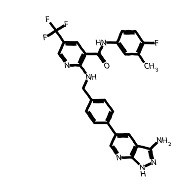 Cc1cc(NC(=O)c2cc(C(F)(F)F)cnc2NCc2ccc(-c3cnc4[nH]nc(N)c4c3)cc2)ccc1F